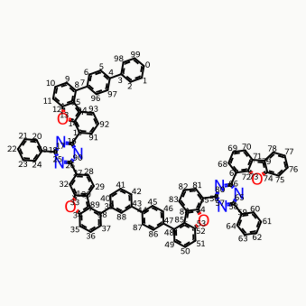 c1ccc(-c2ccc(-c3cccc4oc5c(-c6nc(-c7ccccc7)nc(-c7ccc8c(c7)oc7cccc(-c9cccc(-c%10ccc(-c%11cccc%12oc%13c(-c%14nc(-c%15ccccc%15)nc(-c%15cccc%16c%15oc%15ccccc%15%16)n%14)cccc%13c%11%12)cc%10)c9)c78)n6)cccc5c34)cc2)cc1